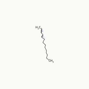 [CH2]/C=C/C=C/CCCCCCCCC